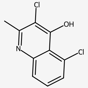 Cc1nc2cccc(Cl)c2c(O)c1Cl